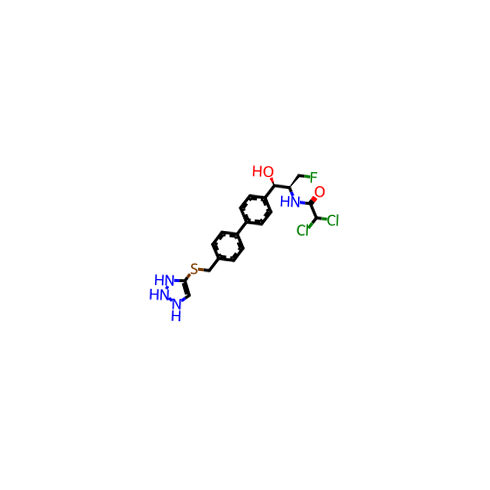 O=C(N[C@H](CF)[C@H](O)c1ccc(-c2ccc(CSC3=CNNN3)cc2)cc1)C(Cl)Cl